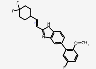 COc1ccc(F)cc1-c1ccc2[nH]c(/C=C/C3CCC(F)(F)CC3)nc2c1